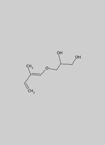 C=CC(C)=COCC(O)CO